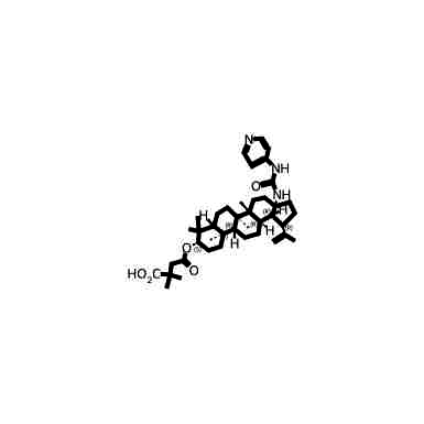 C=C(C)[C@@H]1CC[C@]2(NC(=O)Nc3ccncc3)CC[C@]3(C)[C@H](CC[C@@H]4[C@@]5(C)CC[C@H](OC(=O)CC(C)(C)C(=O)O)C(C)(C)[C@@H]5CC[C@]43C)[C@@H]12